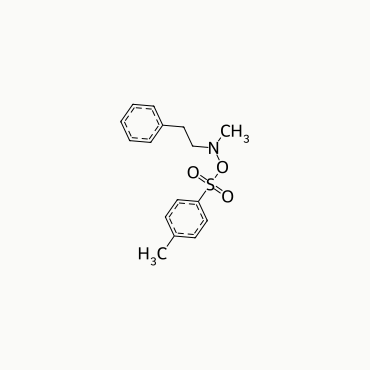 Cc1ccc(S(=O)(=O)ON(C)CCc2ccccc2)cc1